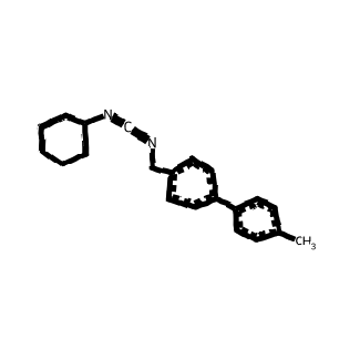 Cc1ccc(-c2ccc(CN=C=NC3CCCCC3)cc2)cc1